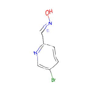 O/N=C/c1ccc(Br)cn1